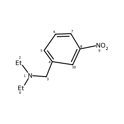 CCN(CC)Cc1cccc([N+](=O)[O-])c1